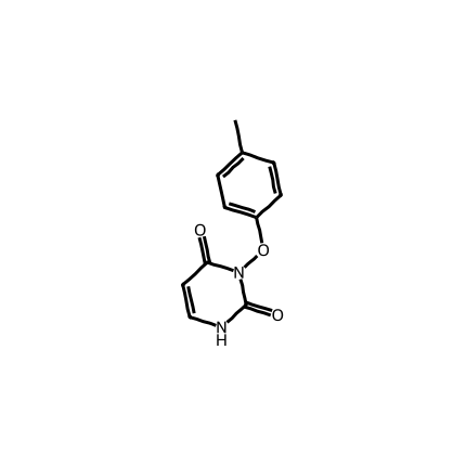 Cc1ccc(On2c(=O)cc[nH]c2=O)cc1